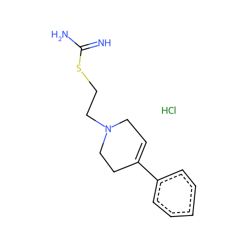 Cl.N=C(N)SCCN1CC=C(c2ccccc2)CC1